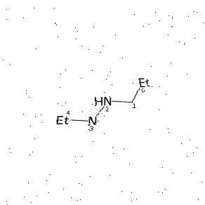 CCCN[N]CC